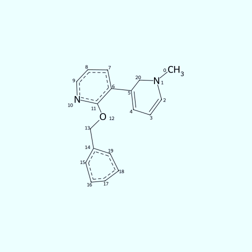 CN1C=CC=C(c2cccnc2OCc2ccccc2)C1